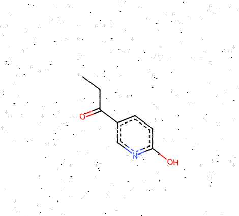 CCC(=O)c1ccc(O)nc1